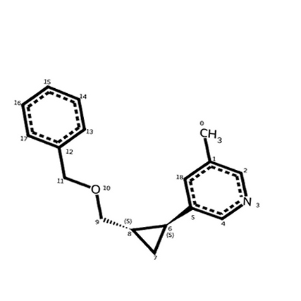 Cc1cncc([C@H]2C[C@@H]2COCc2ccccc2)c1